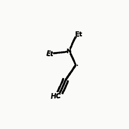 C#C[CH]N(CC)CC